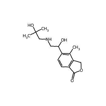 Cc1c(C(O)CNCC(C)(C)O)ccc2c1COC2=O